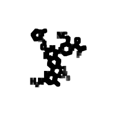 C=C(F)C(=O)N1CCN(c2nc(OC[C@@H]3CCCN3C)nc3cc(-c4nc(N)cc(C)c4C(F)(F)F)c(Cl)cc23)CC1CC#N